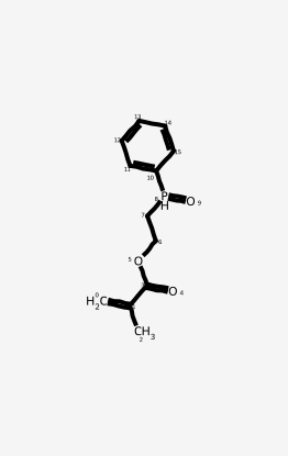 C=C(C)C(=O)OCC[PH](=O)c1ccccc1